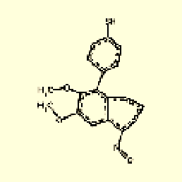 COc1cc2c(N=O)cccc2c(-c2ccc(S)cc2)c1OC